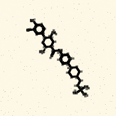 C[C@@H]1CN(c2ccc(C#N)c(Cl)c2)[C@@H](C)CN1C(=O)Nc1ccc(N2CCC(CO[Si](C)(C)C(C)(C)C)CC2)nc1